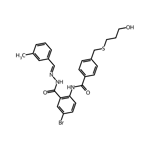 Cc1cccc(C=NNC(=O)c2cc(Br)ccc2NC(=O)c2ccc(CSCCCO)cc2)c1